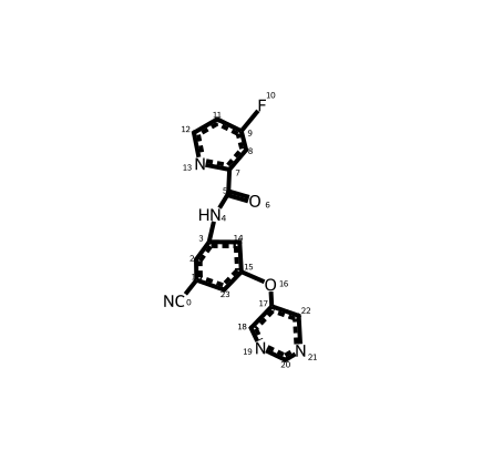 N#Cc1cc(NC(=O)c2cc(F)ccn2)cc(Oc2cncnc2)c1